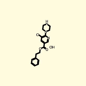 Cl.O=C(OCCc1ccccc1)c1cnc(N2CCNCC2)c(Cl)c1